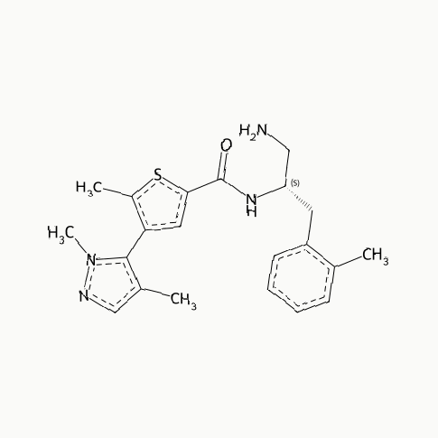 Cc1ccccc1C[C@@H](CN)NC(=O)c1cc(-c2c(C)cnn2C)c(C)s1